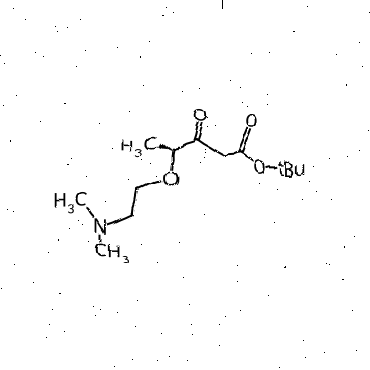 C[C@H](OCCN(C)C)C(=O)CC(=O)OC(C)(C)C